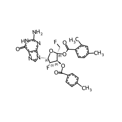 Cc1ccc(C(=O)O[C@H]2[C@H](F)[C@H](n3cnc4c(=O)[nH]c(N)nc43)O[C@@]2(CF)OC(=O)c2ccc(C)cc2C)cc1